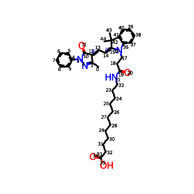 CC1=NN(c2ccccc2)C(=O)/C1=C/C=C1/N(CCC(=O)NCCCCCCCCCCCC(=O)O)c2ccccc2C1(C)C